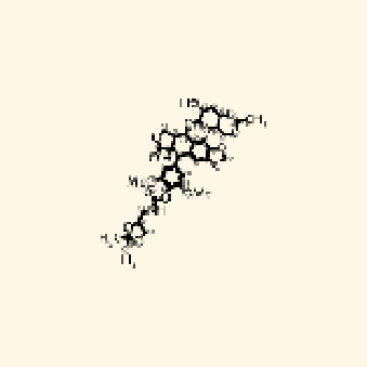 COc1cc(C2c3cc4c(cc3C(OC3OC5COC(C)OC5CC3O)C3COC(=O)[C@H]23)OCO4)cc(OC)c1OC(=O)NCC1COC(C)(C)O1